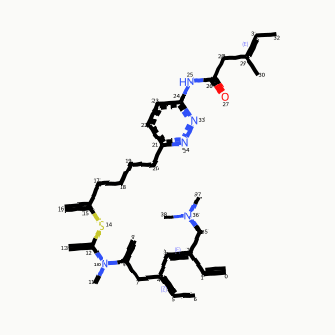 C=C/C(=C\C(=C/C)CC(=C)N(C)C(=C)SC(=C)CCCCc1ccc(NC(=O)C/C(C)=C/C)nn1)CN(C)C